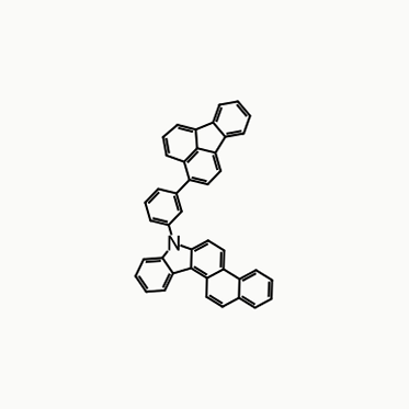 c1cc(-c2ccc3c4c(cccc24)-c2ccccc2-3)cc(-n2c3ccccc3c3c4ccc5ccccc5c4ccc32)c1